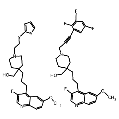 COc1ccc2ncc(F)c(CCCC3(CO)CCN(CC#Cc4cc(F)cc(F)c4F)CC3)c2c1.COc1ccc2ncc(F)c(CCCC3(CO)CCN(CCSc4cccs4)CC3)c2c1